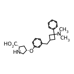 CN(C)C1(c2ccccc2)CC(Cc2cccc(O[C@@H]3CN[C@H](C(=O)O)C3)c2)C1